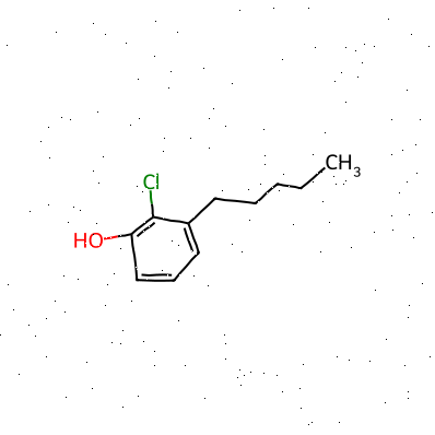 CCCCCc1cccc(O)c1Cl